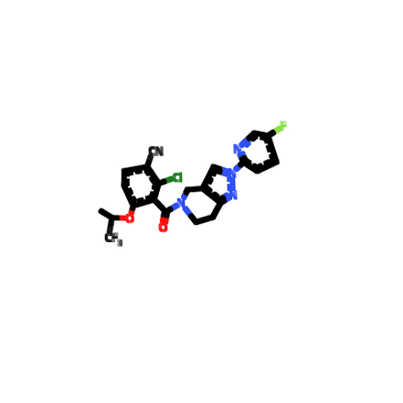 CC(Oc1ccc(C#N)c(Cl)c1C(=O)N1CCc2nn(-c3ccc(F)cn3)cc2C1)C(F)(F)F